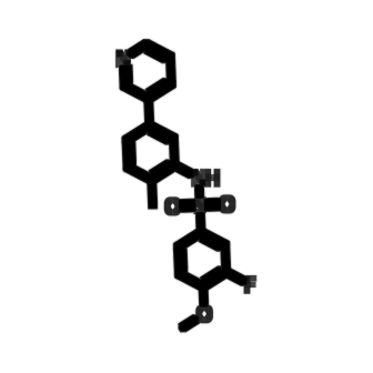 COc1ccc(S(=O)(=O)Nc2cc(-c3cccnc3)ccc2C)cc1F